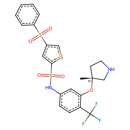 C[C@@]1(Oc2cc(NS(=O)(=O)c3cc(S(=O)(=O)c4ccccc4)cs3)ccc2C(F)(F)F)CCNC1